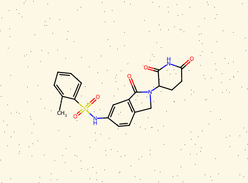 Cc1ccccc1S(=O)(=O)Nc1ccc2c(c1)C(=O)N(C1CCC(=O)NC1=O)C2